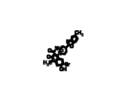 Cc1ccc2oc(C3CCN(c4c(C(N)=O)c(=O)n(C)c5cc(O)c(Br)cc45)CC3)nc2c1